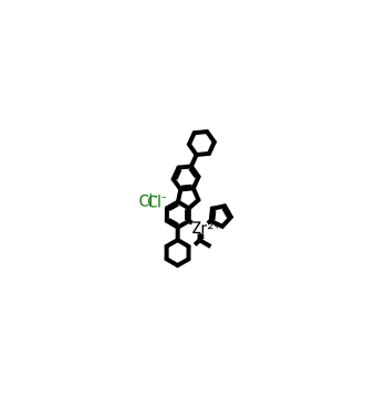 C[C](C)=[Zr+2]([C]1=CC=CC1)[c]1c(C2CCCCC2)ccc2c1Cc1cc(C3CCCCC3)ccc1-2.[Cl-].[Cl-]